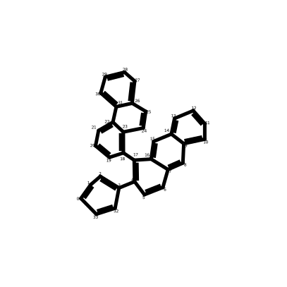 c1ccc(-c2ccc3cc4ccccc4cc3c2-c2cccc3c2ccc2ccccc23)cc1